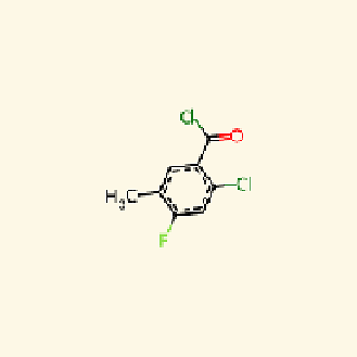 Cc1cc(C(=O)Cl)c(Cl)cc1F